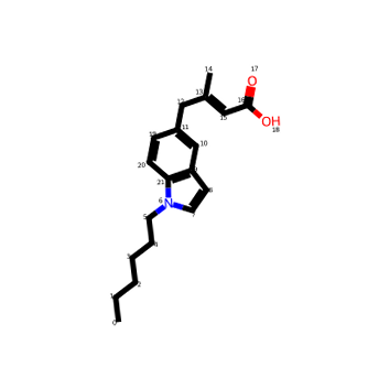 CCCCCCn1ccc2cc(CC(C)=CC(=O)O)ccc21